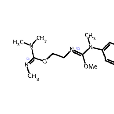 C/N=C(\OCC/N=C(\OC)N(C)c1ccccc1)N(C)C